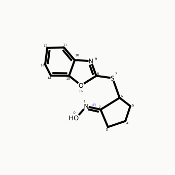 O/N=C1\CCCC1Sc1nc2ccccc2o1